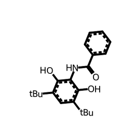 CC(C)(C)c1cc(C(C)(C)C)c(O)c(NC(=O)c2ccccc2)c1O